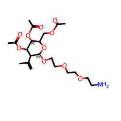 C=C(C)C1C(OC(C)=O)[C@@H](OC(C)=O)C(COC(C)=O)O[C@H]1OCCOCCOCCN